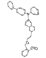 O=Cc1ccccc1COC=Cc1ccc2cc(N(c3ccccc3)c3ccc(-c4ccccc4)cc3)ccc2c1